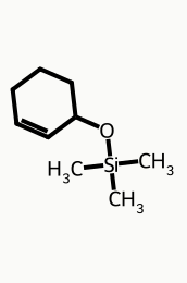 C[Si](C)(C)OC1C=CCCC1